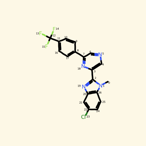 Cn1c(-c2cncc(-c3ccc(C(F)(F)F)cc3)n2)nc2cc(Cl)ccc21